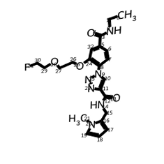 CCNC(=O)c1ccc(-n2cc(C(=O)NCc3cccn3C)nn2)c(OCCOCCF)c1